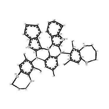 Cc1cc2c3c(c1)N(c1c(C)cc4c(c1C)OCCCO4)c1oc4ccccc4c1B3c1c(oc3ccccc13)N2c1c(C)cc2c(c1C)OCCCO2